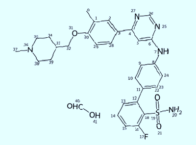 Cc1cc(-c2cc(Nc3ccc(-c4cccc(F)c4S(N)(=O)=O)cc3)ncn2)ccc1OCC1CCN(C)CC1.O=CO